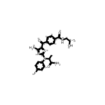 CC(C(N)=O)N(c1ccc(F)cc1)c1nc(N)c(C(=O)c2ccc(C(=O)NC[C@H](C)O)cc2)s1